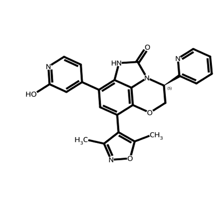 Cc1noc(C)c1-c1cc(-c2ccnc(O)c2)c2[nH]c(=O)n3c2c1OC[C@@H]3c1ccccn1